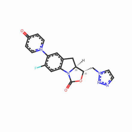 O=C1O[C@@H](Cn2ccnn2)[C@@H]2Cc3cc(-n4ccc(=O)cc4)c(F)cc3N12